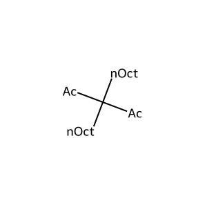 CCCCCCCCC(CCCCCCCC)(C(C)=O)C(C)=O